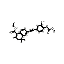 CCOC(=O)C1=C(C)CC(C)(C)c2cc(C#Cc3ccc(CC(=O)OC)c(F)c3)ccc21